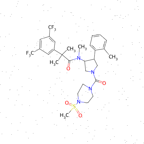 Cc1ccccc1C1CN(C(=O)N2CCN(S(C)(=O)=O)CC2)CC1N(C)C(=O)C(C)(C)c1cc(C(F)(F)F)cc(C(F)(F)F)c1